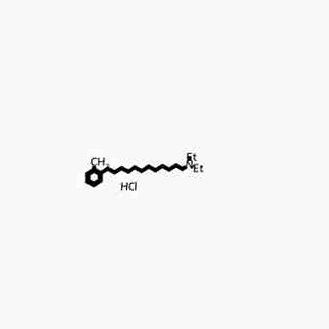 CCN(CC)CCCCCCCCCCCCc1ccccc1C.Cl